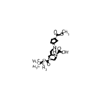 COC(=O)[C@H]1CC[C@@H](NCC2CN(C(=O)OC(C)(C)C)CCN2C(=O)O)C1